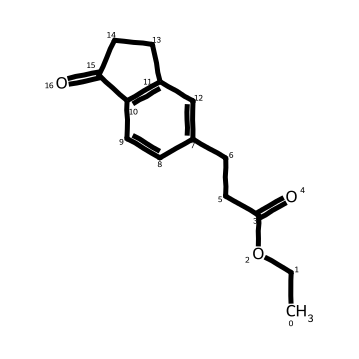 CCOC(=O)CCc1ccc2c(c1)CCC2=O